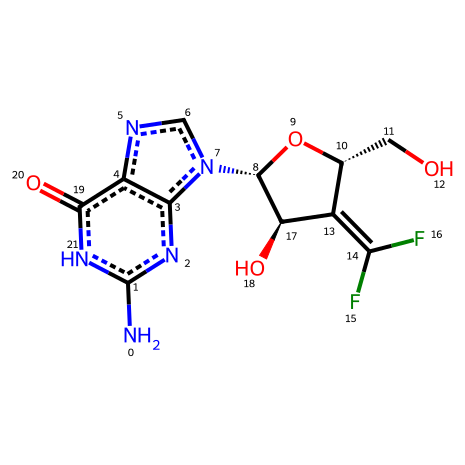 Nc1nc2c(ncn2[C@@H]2O[C@H](CO)C(=C(F)F)[C@H]2O)c(=O)[nH]1